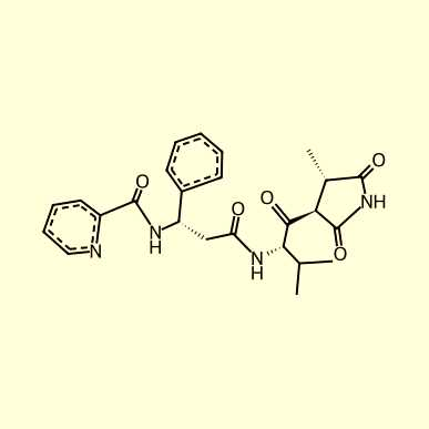 CC(C)[C@H](NC(=O)C[C@H](NC(=O)c1ccccn1)c1ccccc1)C(=O)[C@@H]1C(=O)NC(=O)[C@H]1C